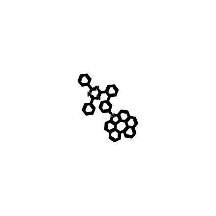 c1ccc(-c2nc(-c3ccccc3)nc(-c3ccccc3-c3cccc(-n4c5ccc6cccc7c6c5c5c6c(ccc8cccc-7c86)ccc54)c3)n2)cc1